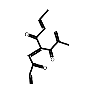 C=CC(=O)/[C]=C(/C(=O)C=CC)C(=O)C(=C)C